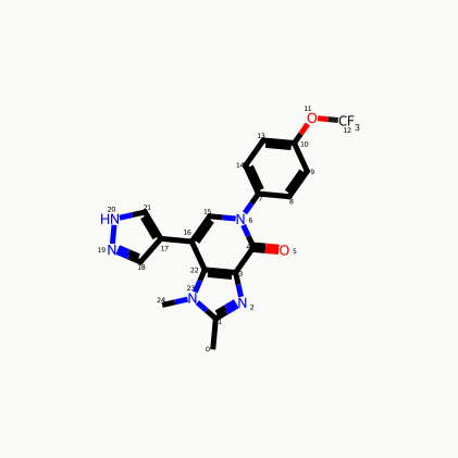 Cc1nc2c(=O)n(-c3ccc(OC(F)(F)F)cc3)cc(-c3cn[nH]c3)c2n1C